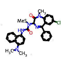 CSN(C(=O)Nc1ccc(N(C)C)c2ccccc12)C1N=C(c2ccccc2)c2cc(Cl)ccc2N(C)C1=O